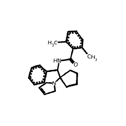 Cc1cccc(C)c1C(=O)NC(c1ccccc1)C1(N2CC=CC2)CCCC1